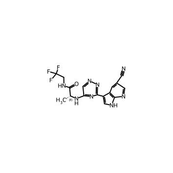 C[C@@H](Nc1cnnc(-c2c[nH]c3ncc(C#N)cc23)n1)C(=O)NCC(F)(F)F